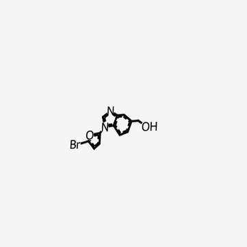 OCc1ccc2c(c1)ncn2-c1ccc(Br)o1